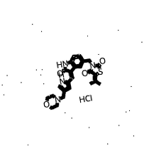 CC(C)=C1SC(=O)N(Cc2ccc3c(c2)C(=Cc2cc(CN4CCOCC4)c[nH]2)C(=O)N3)C1=O.Cl